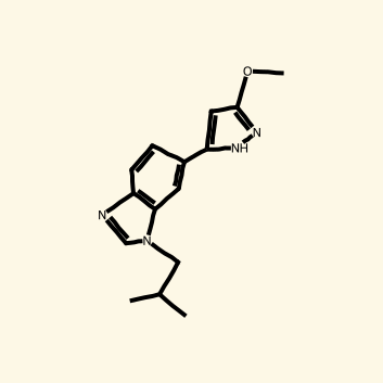 COc1cc(-c2ccc3ncn(CC(C)C)c3c2)[nH]n1